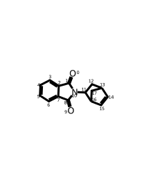 O=C1c2ccccc2C(=O)N1C1CC2C=CC1C2